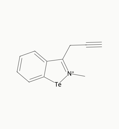 C#CCc1c2ccccc2[te][n+]1C